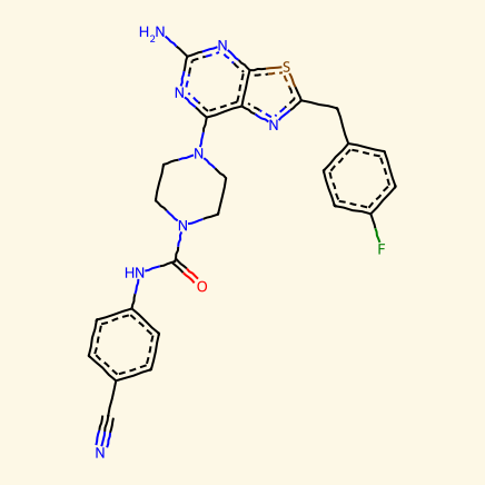 N#Cc1ccc(NC(=O)N2CCN(c3nc(N)nc4sc(Cc5ccc(F)cc5)nc34)CC2)cc1